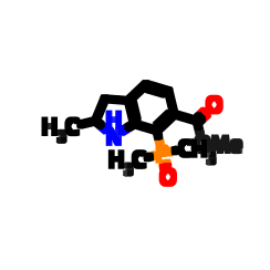 COC(=O)c1ccc2c(c1P(C)(C)=O)NC(C)C2